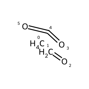 C.C=O.O=C=O